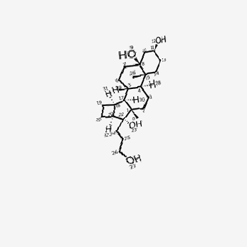 C[C@]12CC[C@H]3[C@@H](CC[C@]4(O)C[C@@H](O)CC[C@]34C)[C@@H]1[C@@H]1CC[C@@H]1[C@]2(O)CCCO